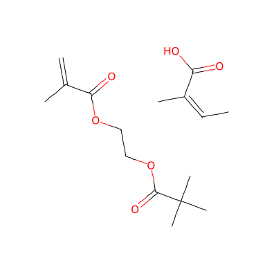 C=C(C)C(=O)OCCOC(=O)C(C)(C)C.CC=C(C)C(=O)O